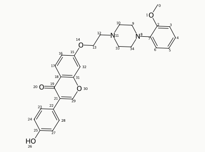 COc1ccccc1N1CCN(CCOc2ccc3c(=O)c(-c4ccc(O)cc4)coc3c2)CC1